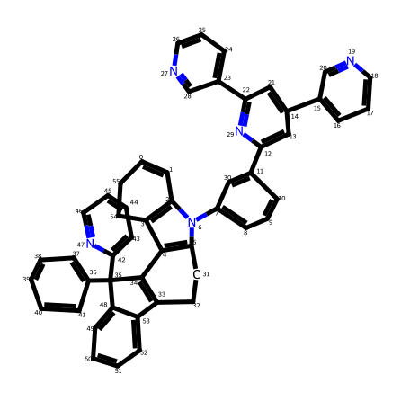 C1=Cc2c(c3c(n2-c2cccc(-c4cc(-c5cccnc5)cc(-c5cccnc5)n4)c2)CCC2=C3C(c3ccccc3)(c3ccccn3)c3ccccc32)CC1